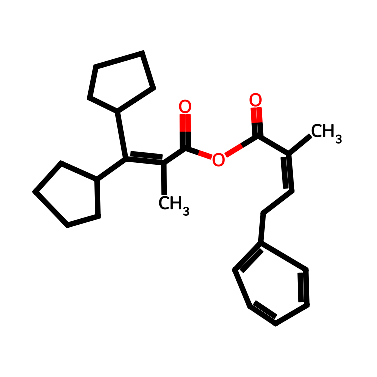 CC(=CCc1ccccc1)C(=O)OC(=O)C(C)=C(C1CCCC1)C1CCCC1